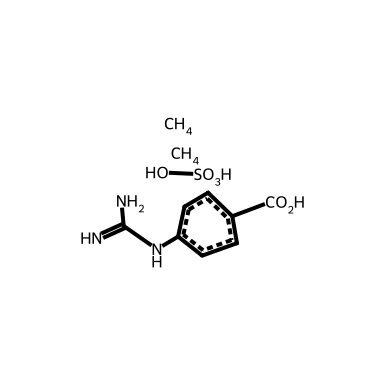 C.C.N=C(N)Nc1ccc(C(=O)O)cc1.O=S(=O)(O)O